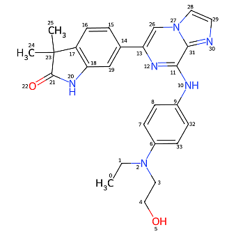 CCN(CCO)c1ccc(Nc2nc(-c3ccc4c(c3)NC(=O)C4(C)C)cn3ccnc23)cc1